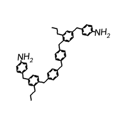 CCCc1cc(Cc2ccc(N)cc2)ccc1Cc1ccc(Cc2ccc(Cc3ccc(Cc4ccc(N)cc4)cc3CCC)cc2)cc1